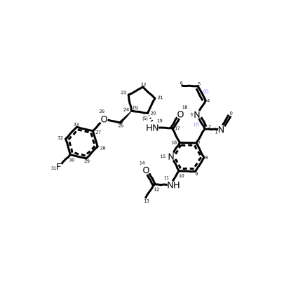 C=N/C(=N\C=C/C)c1ccc(NC(C)=O)nc1C(=O)N[C@H]1CCC[C@@H]1COc1ccc(F)cc1